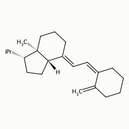 C=C1CCCC/C1=C/C=C1\CCC[C@]2(C)[C@@H](C(C)C)CC[C@@H]12